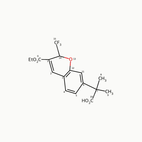 CCOC(=O)C1=Cc2ccc(C(C)(C)C(=O)O)cc2OC1C(F)(F)F